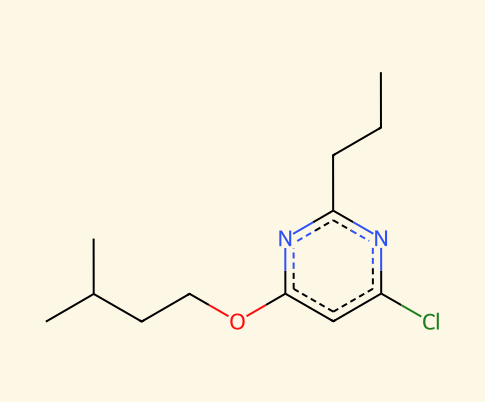 CCCc1nc(Cl)cc(OCCC(C)C)n1